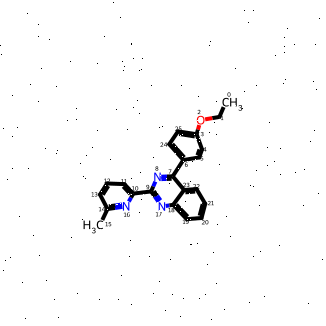 CCOc1ccc(-c2nc(-c3cccc(C)n3)nc3ccccc23)cc1